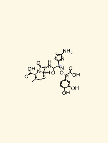 CC1=C(C(=O)O)N2C(=O)[C@@H](NC(=O)/C(=N\O[C@H](C(=O)O)c3ccc(O)c(O)c3)c3csc(N)n3)[C@H]2SC1